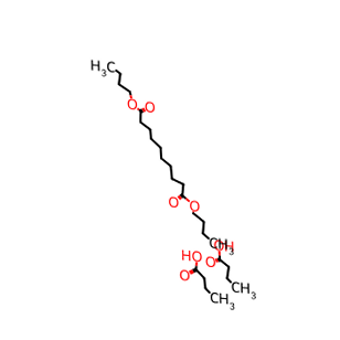 CCCC(=O)O.CCCC(=O)O.CCCCOC(=O)CCCCCCCCC(=O)OCCCC